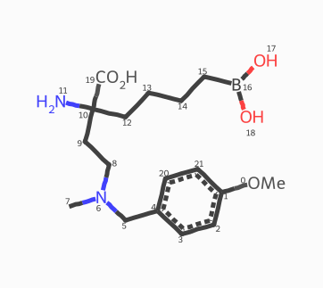 COc1ccc(CN(C)CCC(N)(CCCCB(O)O)C(=O)O)cc1